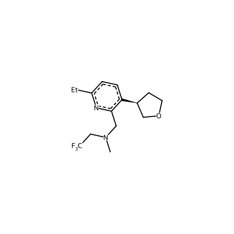 CCc1ccc([C@H]2CCOC2)c(CN(C)CC(F)(F)F)n1